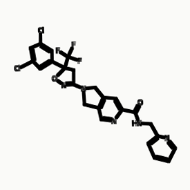 O=C(NCc1ccccn1)c1cc2c(cn1)CN(C1=NOC(c3cc(Cl)cc(Cl)c3)(C(F)(F)F)C1)C2